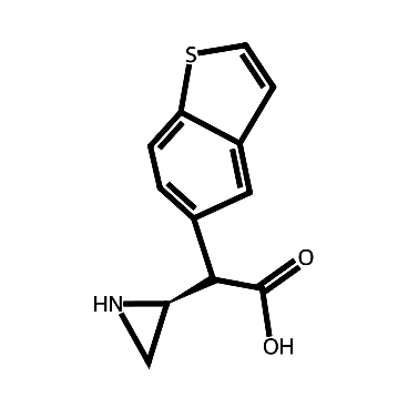 O=C(O)C(c1ccc2sccc2c1)[C@H]1CN1